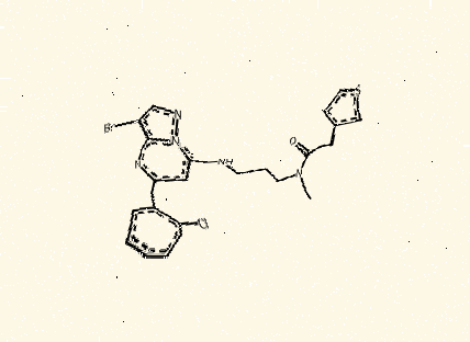 CN(CCCNc1cc(-c2ccccc2Cl)nc2c(Br)cnn12)C(=O)Cc1ccsc1